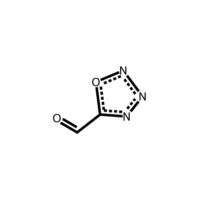 O=Cc1nnno1